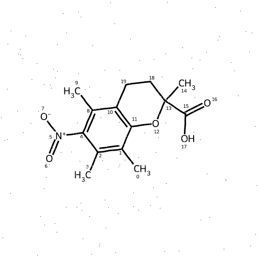 Cc1c(C)c([N+](=O)[O-])c(C)c2c1OC(C)(C(=O)O)CC2